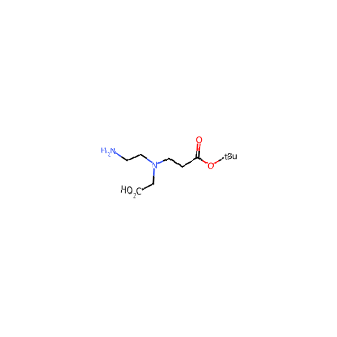 CC(C)(C)OC(=O)CCN(CCN)CC(=O)O